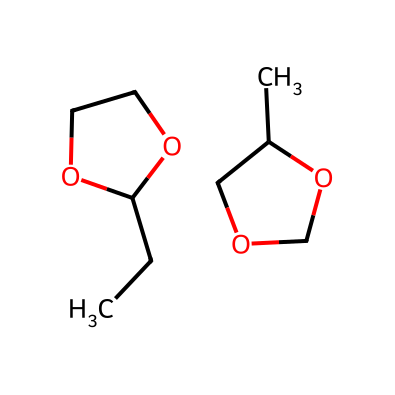 CC1COCO1.CCC1OCCO1